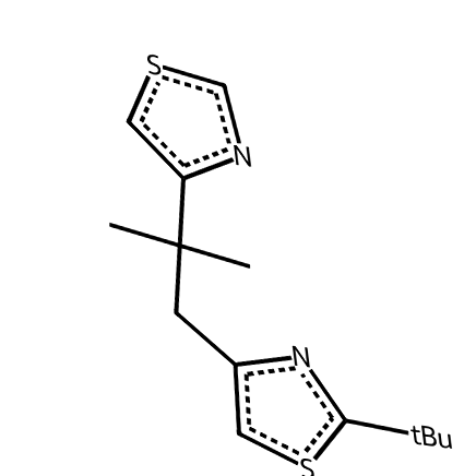 CC(C)(C)c1nc(CC(C)(C)c2cscn2)cs1